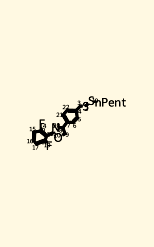 CCCCCSSCc1ccc(C2COC(c3c(F)cccc3F)=N2)cc1